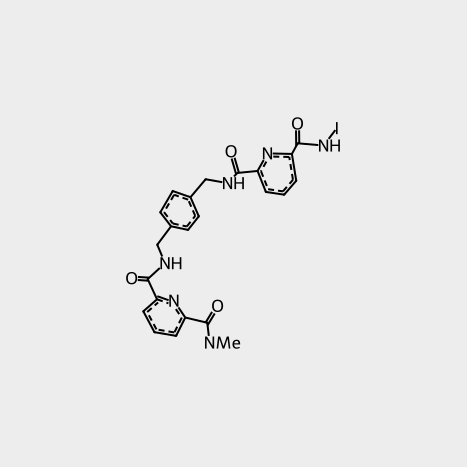 CNC(=O)c1cccc(C(=O)NCc2ccc(CNC(=O)c3cccc(C(=O)NI)n3)cc2)n1